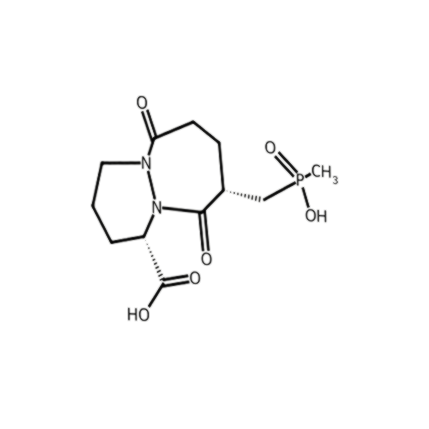 CP(=O)(O)C[C@H]1CCC(=O)N2CCC[C@@H](C(=O)O)N2C1=O